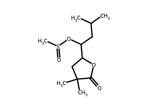 CC(C)CC(OS(C)=O)C1CC(C)(C)C(=O)O1